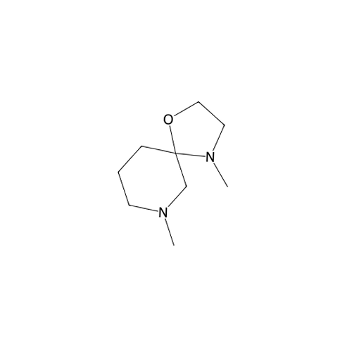 CN1CCCC2(C1)OCCN2C